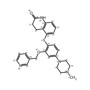 CN1CCN(c2ccc(Sc3cccc4c3CCC(=O)N4)c(OCc3cccnc3)c2)CC1